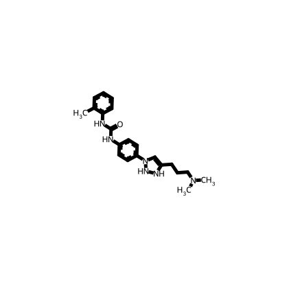 Cc1ccccc1NC(=O)Nc1ccc(N2C=C(CCCN(C)C)NN2)cc1